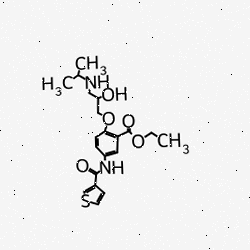 CCOC(=O)c1cc(NC(=O)c2ccsc2)ccc1OCC(O)CNC(C)C